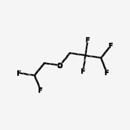 FC(F)COCC(F)(F)C(F)F